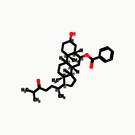 CC(C)C(=O)CC[C@@H](C)[C@H]1CC[C@H]2[C@@H]3C[C@H](OC(=O)c4ccccc4)[C@@H]4C[C@H](O)CC[C@]4(C)[C@H]3CC[C@]12C